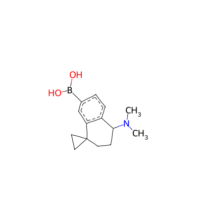 CN(C)C1CCC2(CC2)c2cc(B(O)O)ccc21